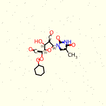 Cc1cn([C@@H]2O[C@H](C(=C=O)OOC3CCCCC3)[C@@H](O)C2=C=O)c(=O)[nH]c1=O